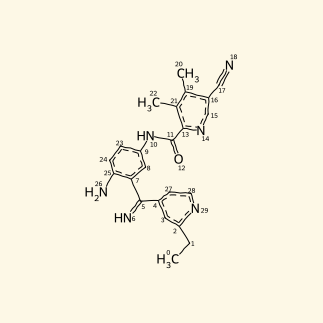 CCc1cc(C(=N)c2cc(NC(=O)c3ncc(C#N)c(C)c3C)ccc2N)ccn1